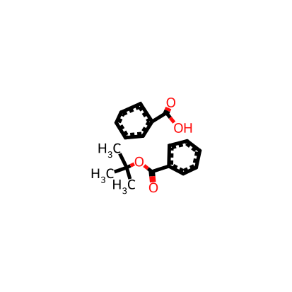 CC(C)(C)OC(=O)c1ccccc1.O=C(O)c1ccccc1